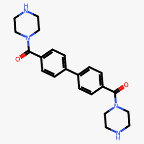 O=C(c1ccc(-c2ccc(C(=O)N3CCNCC3)cc2)cc1)N1CCNCC1